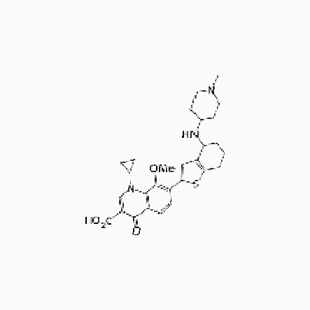 COc1c(-c2cc3c(s2)CCCC3NC2CCN(C)CC2)ccc2c(=O)c(C(=O)O)cn(C3CC3)c12